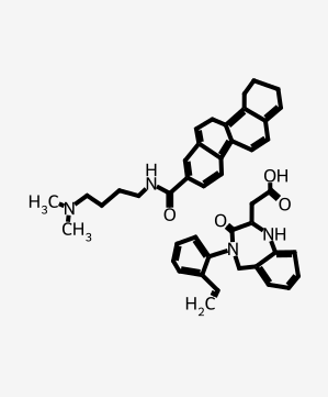 C=Cc1ccccc1N1Cc2ccccc2NC(CC(=O)O)C1=O.CN(C)CCCCNC(=O)c1ccc2c(c1)=CCc1c3c(ccc1=2)=CCCC3